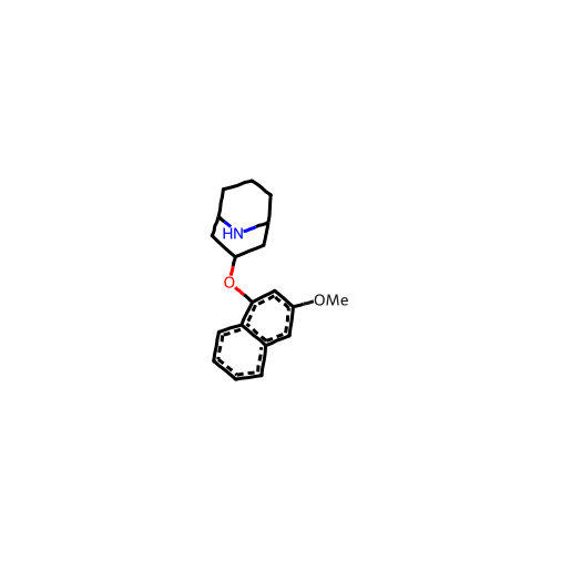 COc1cc(OC2CC3CCCC(C2)N3)c2ccccc2c1